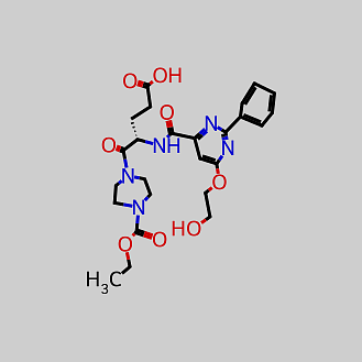 CCOC(=O)N1CCN(C(=O)[C@H](CCC(=O)O)NC(=O)c2cc(OCCO)nc(-c3ccccc3)n2)CC1